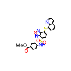 COC(=O)c1ccc(NS(=O)(=O)c2ccc(Sc3cccc4cccnc34)c3nonc23)cc1